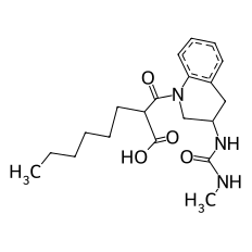 CCCCCCC(C(=O)O)C(=O)N1CC(NC(=O)NC)Cc2ccccc21